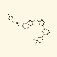 FC1(F)CCN(c2cncc(-c3cn(Cc4cn5cc(CNCC67CC(F)(C6)C7)ccc5n4)nn3)c2)C1